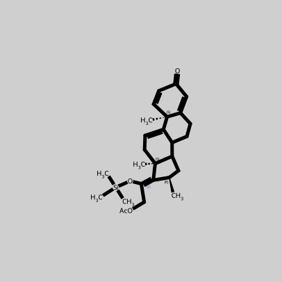 CC(=O)OC/C(O[Si](C)(C)C)=C1\[C@H](C)CC2C3CCC4=CC(=O)C=C[C@]4(C)C3=CC[C@]12C